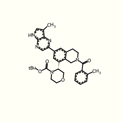 Cc1ccccc1C(=O)N1CCc2cc(-c3cnc4[nH]cc(C)c4n3)cc([C@@H]3COCCN3C(=O)OC(C)(C)C)c2C1